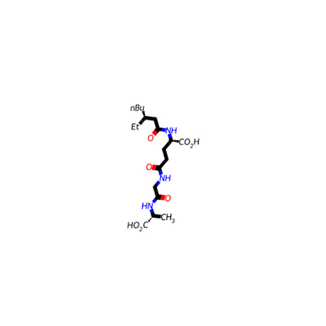 CCCC[C@H](CC)CC(=O)N[C@H](CCC(=O)NCC(=O)N[C@H](C)C(=O)O)C(=O)O